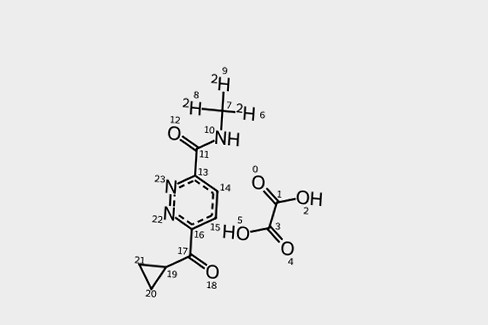 O=C(O)C(=O)O.[2H]C([2H])([2H])NC(=O)c1ccc(C(=O)C2CC2)nn1